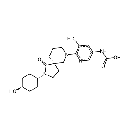 Cc1cc(NC(=O)O)cnc1N1CCC[C@@]2(CCN([C@H]3CC[C@H](O)CC3)C2=O)C1